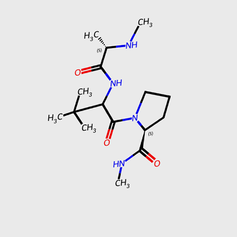 CNC(=O)[C@@H]1CCCN1C(=O)C(NC(=O)[C@H](C)NC)C(C)(C)C